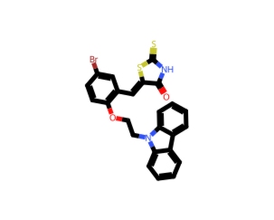 O=C1NC(=S)SC1=Cc1cc(Br)ccc1OCCn1c2ccccc2c2ccccc21